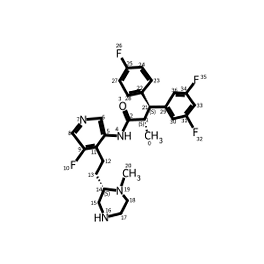 C[C@H](C(=O)Nc1cncc(F)c1CC[C@H]1CNCCN1C)[C@@H](c1ccc(F)cc1)c1cc(F)cc(F)c1